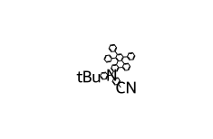 CC(C)(C)c1ccc(N(c2ccc(C#N)cc2)c2ccc3c(c2)c2ccccc2c2c(-c4ccccc4)cc(-c4ccccc4)c(-c4ccccc4)c32)cc1